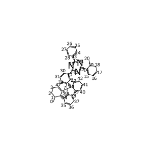 CC1CCC2=C(C1)C1(c3cc(-c4nc(C5=CC=CCC5C)nc(-c5ccccc5)n4)ccc32)c2ccccc2C2C=CC=CC21